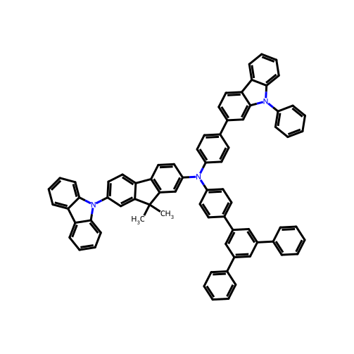 CC1(C)c2cc(N(c3ccc(-c4cc(-c5ccccc5)cc(-c5ccccc5)c4)cc3)c3ccc(-c4ccc5c6ccccc6n(-c6ccccc6)c5c4)cc3)ccc2-c2ccc(-n3c4ccccc4c4ccccc43)cc21